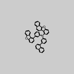 c1cc(-c2cccc3ccccc23)cc(N(c2cccc(-c3cccc4oc5ccccc5c34)c2)c2cccc3oc4c5ccccc5ccc4c23)c1